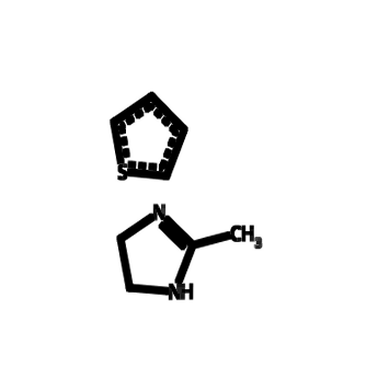 CC1=NCCN1.c1ccsc1